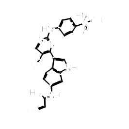 C=CC(O)Nc1ccc2c(-c3nc(Nc4ccc(S(C)(=N)=O)cc4)ncc3Cl)c[nH]c2c1